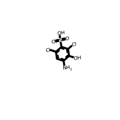 Nc1cc(Cl)c(S(=O)(=O)O)c(Cl)c1O